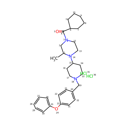 CC1CN(C(=O)C2CCCCC2)CCN1C1CCN(Cc2ccc(Oc3ccccc3)cc2)CC1.Cl.Cl